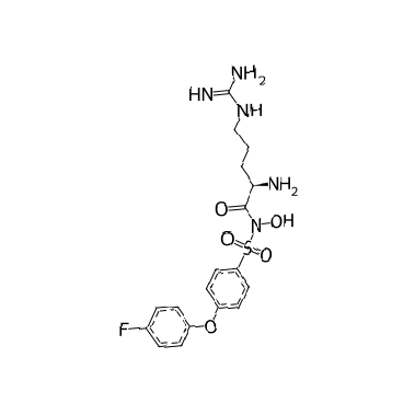 N=C(N)NCCC[C@@H](N)C(=O)N(O)S(=O)(=O)c1ccc(Oc2ccc(F)cc2)cc1